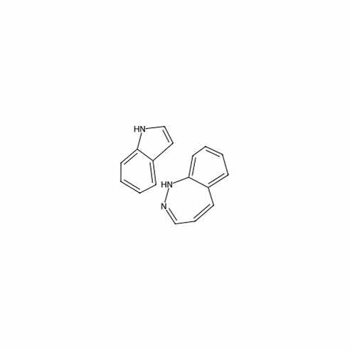 C1=Cc2ccccc2NN=C1.c1ccc2[nH]ccc2c1